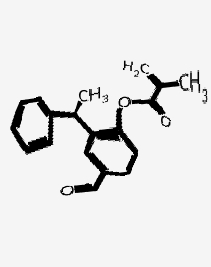 C=C(C)C(=O)Oc1ccc(C=O)cc1[C@H](C)c1ccccc1